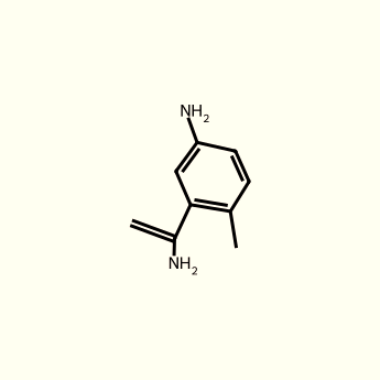 C=C(N)c1cc(N)ccc1C